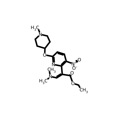 CCOC(=O)/C(=C/N(C)C)c1nc(OC2CCN(C)CC2)ccc1[N+](=O)[O-]